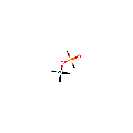 C[Si](C)(C)OP(C)(C)=O